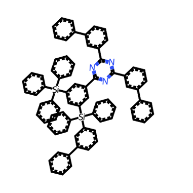 c1ccc(-c2cccc(-c3nc(-c4cccc(-c5ccccc5)c4)nc(-c4cc([Si](c5ccccc5)(c5ccccc5)c5ccccc5)cc([Si](c5ccccc5)(c5ccccc5)c5cccc(-c6ccccc6)c5)c4)n3)c2)cc1